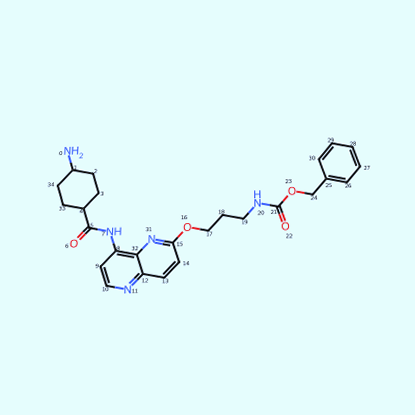 NC1CCC(C(=O)Nc2ccnc3ccc(OCCCNC(=O)OCc4ccccc4)nc23)CC1